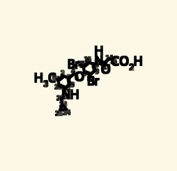 Cc1cc(COc2c(Br)cc(NC(=O)CC(=O)O)cc2Br)cc(NCC2CC2)c1